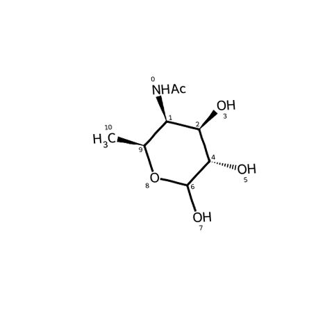 CC(=O)N[C@H]1[C@@H](O)[C@H](O)C(O)O[C@H]1C